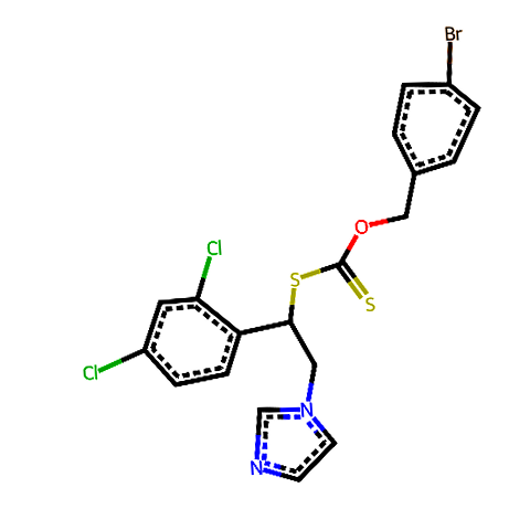 S=C(OCc1ccc(Br)cc1)SC(Cn1ccnc1)c1ccc(Cl)cc1Cl